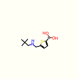 CC(C)(C)CNCc1ccc(B(O)O)s1